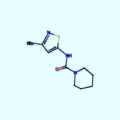 CC(C)(C)c1cc(NC(=O)N2CCCCC2)sn1